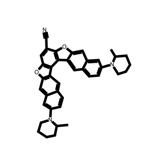 CC1CCCCN1c1ccc2cc3c(cc2c1)oc1cc(C#N)c2oc4cc5cc(N6CCCCC6C)ccc5cc4c2c13